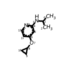 CC(C)Nc1cc(OC2CC2)ccn1